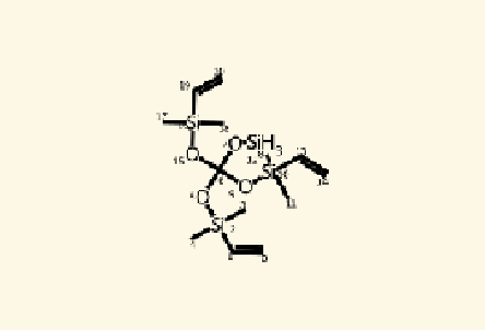 C=C[Si](C)(C)OC(O[SiH3])(O[Si](C)(C)C=C)O[Si](C)(C)C=C